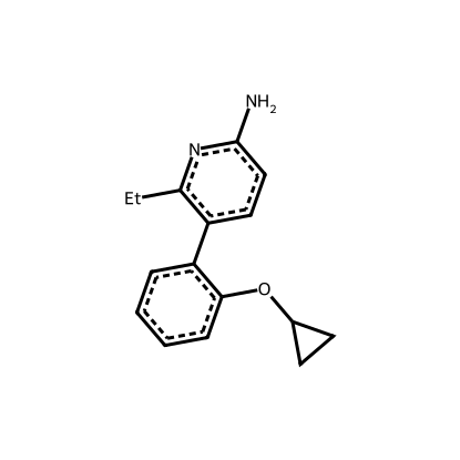 CCc1nc(N)ccc1-c1ccccc1OC1CC1